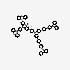 N=C1C(c2ccc(-n3c4ccc(-c5ccc(-c6ccc(-n7c8ccccc8c8ccccc87)cc6)cc5)cc4c4cc(-c5ccc(-c6ccc(-n7c8ccccc8c8ccccc87)cc6)cc5)ccc43)cc2)=CC=C(N(c2ccc(N3c4ccccc4Sc4ccccc43)cc2)c2ccc(N3c4ccccc4Sc4ccccc43)cc2)/C1=N/S